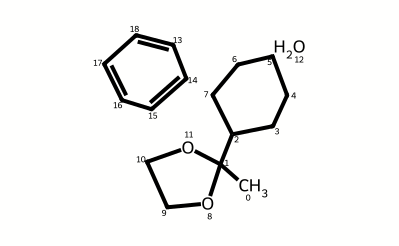 CC1(C2CCCCC2)OCCO1.O.c1ccccc1